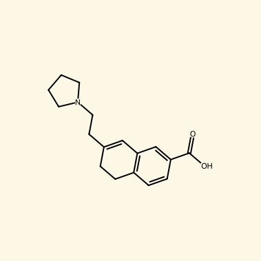 O=C(O)c1ccc2c(c1)C=C(CCN1CCCC1)CC2